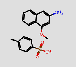 COc1cc(N)cc2ccccc12.Cc1ccc(S(=O)(=O)O)cc1